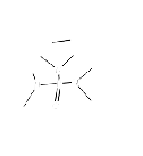 CC.CN(C)P(=O)(N(C)C)N(C)C